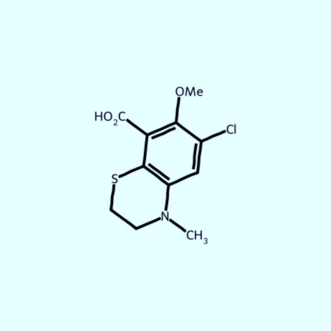 COc1c(Cl)cc2c(c1C(=O)O)SCCN2C